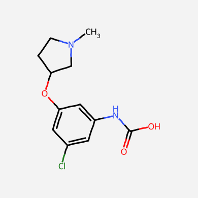 CN1CCC(Oc2cc(Cl)cc(NC(=O)O)c2)C1